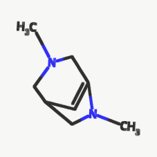 CN1CC2=CC(C1)CN2C